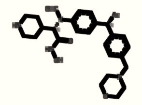 CC(=O)[C@@H](c1ccc(CN2CCOCC2)cc1)c1ccc(N(C=O)[C@H](C(=O)NO)C2CCNCC2)cc1